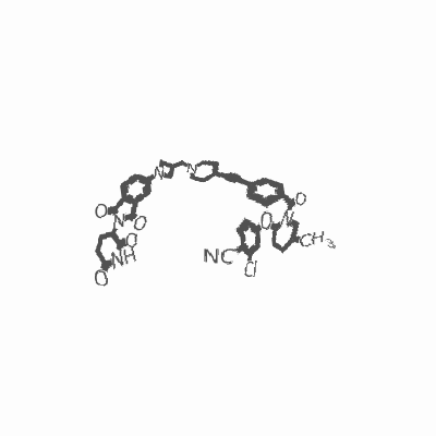 CC1CCC(Oc2ccc(C#N)c(Cl)c2)N(C(=O)c2ccc(C#CC3CCN(CC4CN(c5ccc6c(c5)C(=O)N(C5CCC(=O)NC5=O)C6=O)C4)CC3)cc2)C1